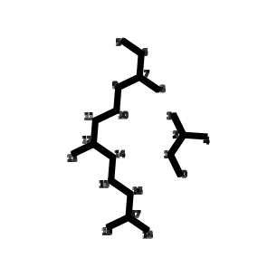 CCC(C)C.CCC(C)CCCC(C)CCCC(C)C